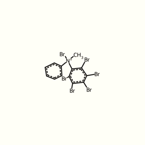 C[N+](Br)(c1ccccc1)c1c(Br)c(Br)c(Br)c(Br)c1Br